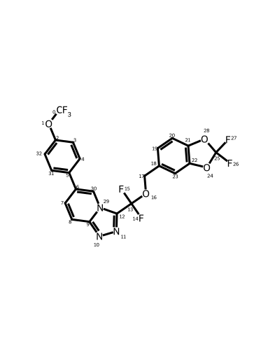 FC(F)(F)Oc1ccc(-c2ccc3nnc(C(F)(F)OCc4ccc5c(c4)OC(F)(F)O5)n3c2)cc1